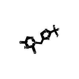 O=c1cnn(Cc2cnc(C(F)(F)F)s2)c(=O)[nH]1